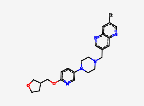 CCc1cnc2cc(CN3CCN(c4ccc(OCC5CCOC5)nc4)CC3)cnc2c1